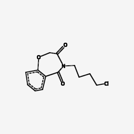 O=C1COc2ccccc2C(=O)N1CCCCCl